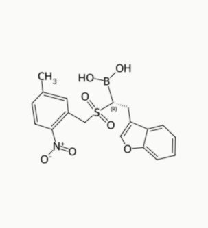 Cc1ccc([N+](=O)[O-])c(CS(=O)(=O)[C@@H](Cc2coc3ccccc23)B(O)O)c1